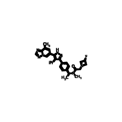 Cc1cc(-c2[nH]nc(-c3ccc(C(C)N(C)C(=O)CN4CC(F)C4)cc3)c2C(C)C)cn2ncnc12